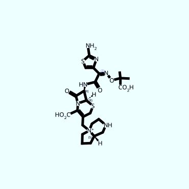 CC(C)(O/N=C(\C(=O)N[C@@H]1C(=O)N2C(C(=O)O)=C(C[N+]34CCC[C@H]3CNCC4)CS[C@H]12)c1csc(N)n1)C(=O)O